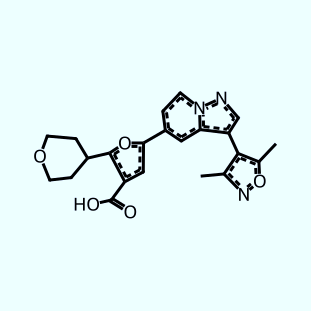 Cc1noc(C)c1-c1cnn2ccc(-c3cc(C(=O)O)c(C4CCOCC4)o3)cc12